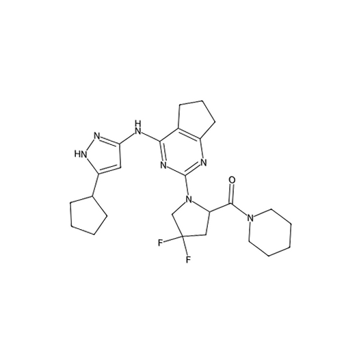 O=C(C1CC(F)(F)CN1c1nc2c(c(Nc3cc(C4CCCC4)[nH]n3)n1)CCC2)N1CCCCC1